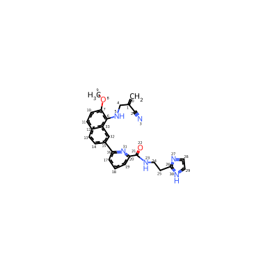 C=C(C#N)CNc1c(OC)ccc2ccc(-c3cccc(C(=O)NCCc4ncc[nH]4)n3)cc12